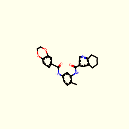 Cc1ccc(NC(=O)c2ccc3c(c2)OCCO3)cc1NC(=O)c1cnc2c(c1)CCCC2